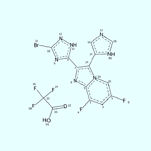 Fc1cc(F)c2nc(-c3nc(Br)n[nH]3)c(-c3cnc[nH]3)n2c1.O=C(O)C(F)(F)F